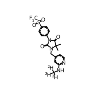 [2H]C([2H])([2H])Nc1cc(CN2C(=O)N(c3ccc(S(=O)(=O)C(F)(F)F)cc3)C(=O)C2(C)C)ccn1